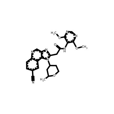 COc1ncnc(OC)c1NC(=O)Cc1nc2cnc3ccc(C#N)cc3c2n1C1CCOC(C)C1